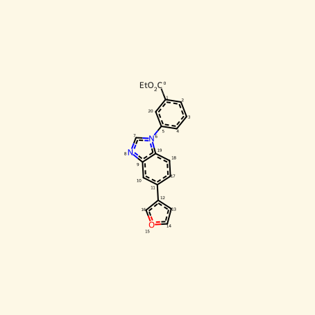 CCOC(=O)c1cccc(-n2cnc3cc(-c4ccoc4)ccc32)c1